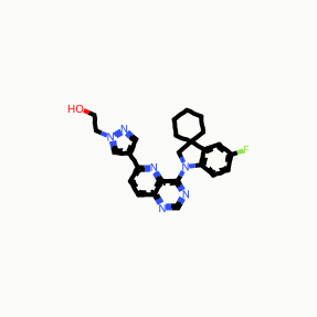 OCCn1cc(-c2ccc3ncnc(N4CC5(CCCCC5)c5cc(F)ccc54)c3n2)cn1